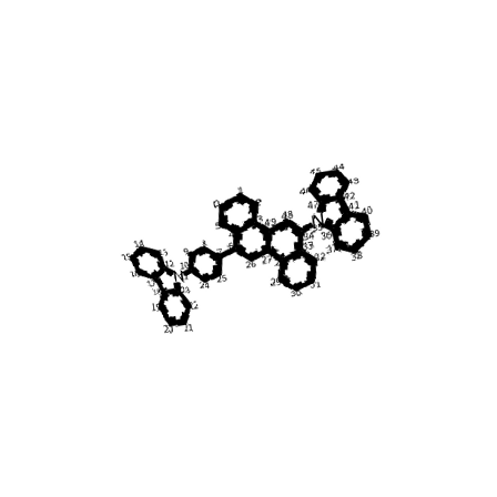 c1ccc2c(c1)c(-c1ccc(-n3c4ccccc4c4ccccc43)cc1)cc1c3ccccc3c(-n3c4ccccc4c4ccccc43)cc21